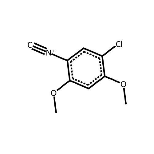 [C-]#[N+]c1cc(Cl)c(OC)cc1OC